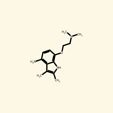 Cc1[nH]c2c(OCCN(C)C)ccc(N)c2c1C